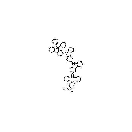 c1ccc([Si](c2ccccc2)(c2ccccc2)c2cccc(-n3c4ccccc4c4cc(-n5c6ccccc6c6cc(N7c8ccccc8C8(c9ccccc97)C7C[C@H]9C[C@@H](C7)C[C@@H]8C9)ccc65)ccc43)c2)cc1